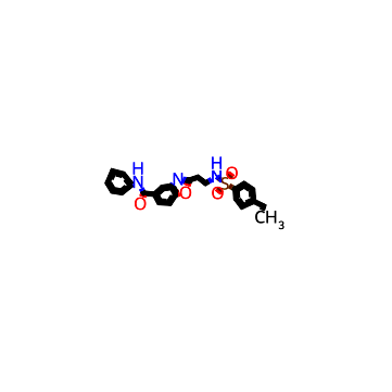 CCc1ccc(S(=O)(=O)NCCc2nc3cc(C(=O)Nc4ccccc4)ccc3o2)cc1